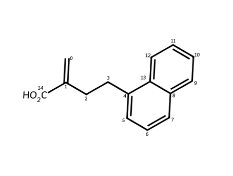 C=C(CCc1cccc2ccccc12)C(=O)O